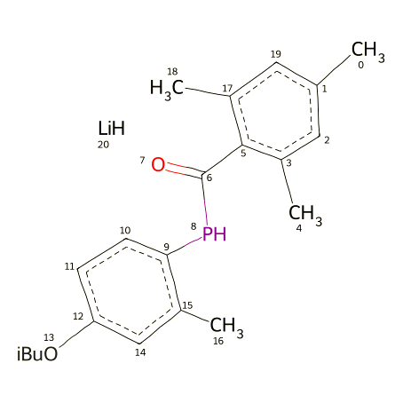 Cc1cc(C)c(C(=O)Pc2ccc(OCC(C)C)cc2C)c(C)c1.[LiH]